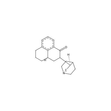 O=C1c2cccc3c2[C@H](CCC3)CC1[C@@H]1CN2CCC1CC2